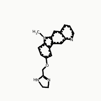 Cn1c2ccc(OCC3=NCCN3)cc2c2cc3ncccc3cc21